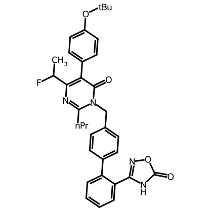 CCCc1nc(C(C)F)c(-c2ccc(OC(C)(C)C)cc2)c(=O)n1Cc1ccc(-c2ccccc2-c2noc(=O)[nH]2)cc1